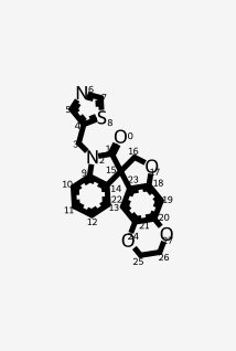 O=C1N(Cc2cncs2)c2ccccc2C12COc1cc3c(cc12)OCCO3